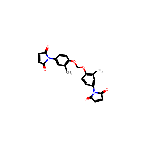 Cc1cc(N2C(=O)C=CC2=O)ccc1OCOc1ccc(N2C(=O)C=CC2=O)cc1C